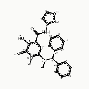 CN(c1nc(C(=O)Nc2ccon2)c(O)c(=O)n1C)C(c1ccccc1)c1ccccc1